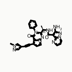 C[C@@H](NC(=O)c1c(N)nn2cccnc12)c1nn2ccc(C#Cc3cnn(C)c3)c2c(=O)n1-c1ccccc1